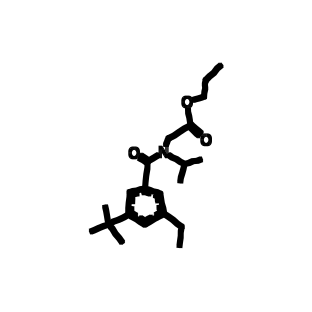 CCCOC(=O)CN(C(=O)c1cc(CC)cc(C(C)(C)C)c1)C(C)C